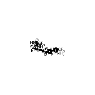 Nc1nc(-c2cc3ncn(CCC[C@H](COC(F)F)Nc4cn[nH]c(=O)c4C(F)(F)F)c(=O)c3cc2F)ccc1C(F)(F)F